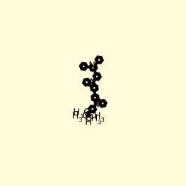 C[SH](C)(C)(C)c1ccc(-n2c3ccccc3c3cc(-c4ccc5c(c4)c4ccccc4n5-c4cccc(-c5cc(-c6ccccc6)nc(-c6ccccc6)c5)c4)ccc32)cc1